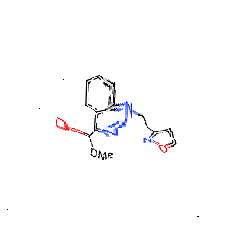 COC(=O)c1nn(Cc2ccon2)c2ccccc12